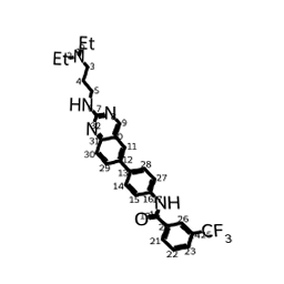 CCN(CC)CCCNc1ncc2cc(-c3ccc(NC(=O)c4cccc(C(F)(F)F)c4)cc3)ccc2n1